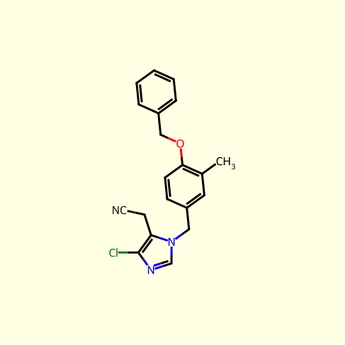 Cc1cc(Cn2cnc(Cl)c2CC#N)ccc1OCc1ccccc1